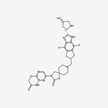 O=C1COc2ncc(N3CC4(CCN(CC5Cc6c(c(F)c7[nH]c([C@@H]8C[C@@H](O)CN8)nc7c6F)C5)CC4)OC3=O)nc2N1